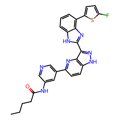 CCCCC(=O)Nc1cncc(-c2ccc3[nH]nc(-c4nc5c(-c6ccc(F)s6)cccc5[nH]4)c3n2)c1